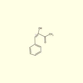 CC(=O)/C(O)=C\c1ccccc1